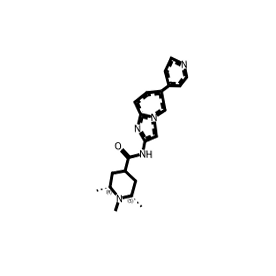 C[C@@H]1CC(C(=O)Nc2cn3cc(-c4ccncc4)ccc3n2)C[C@H](C)N1C